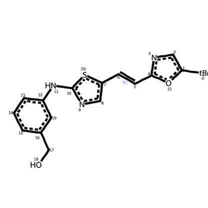 CC(C)(C)c1cnc(/C=C/c2cnc(Nc3cccc(CO)c3)s2)o1